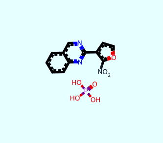 O=P(O)(O)O.O=[N+]([O-])c1occc1-c1ncc2ccccc2n1